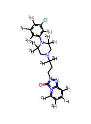 [2H]c1c([2H])c(Cl)c([2H])c(N2C([2H])([2H])CN(C([2H])([2H])CCn3nc4c([2H])c([2H])c([2H])c([2H])n4c3=O)CC2([2H])[2H])c1[2H]